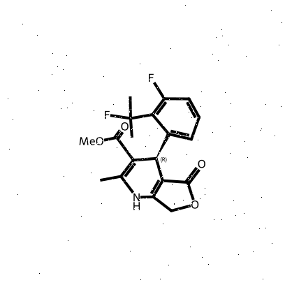 COC(=O)C1=C(C)NC2=C(C(=O)OC2)[C@@H]1c1cccc(F)c1C(C)(C)F